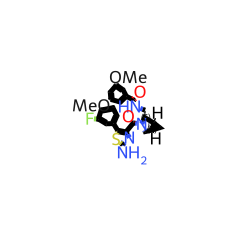 COc1cc(OC)cc(C(=O)NC[C@@H]2[C@H]3C[C@H]3CN2C(=O)c2nc(N)sc2-c2cccc(F)c2)c1